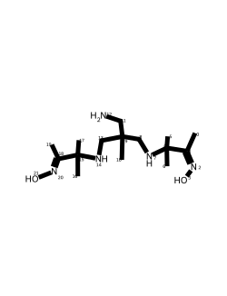 CC(=NO)C(C)(C)NCC(C)(CN)CNC(C)(C)C(C)=NO